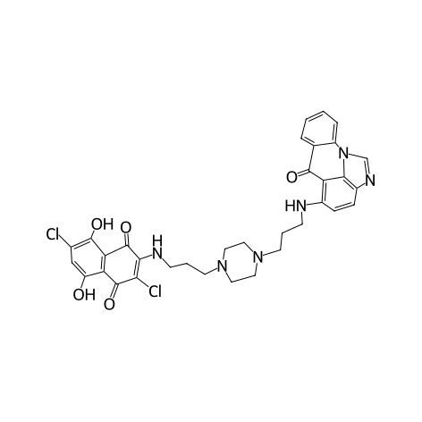 O=C1C(Cl)=C(NCCCN2CCN(CCCNc3ccc4ncn5c6ccccc6c(=O)c3c45)CC2)C(=O)c2c(O)c(Cl)cc(O)c21